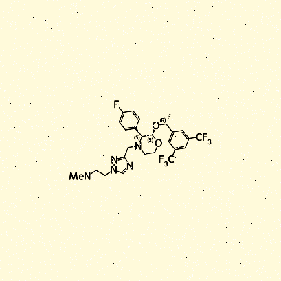 CNCCn1cnc(CN2CCO[C@H](O[C@H](C)c3cc(C(F)(F)F)cc(C(F)(F)F)c3)[C@@H]2c2ccc(F)cc2)n1